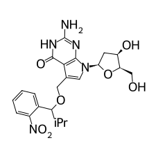 CC(C)C(OCc1cn([C@H]2C[C@@H](O)[C@@H](CO)O2)c2nc(N)[nH]c(=O)c12)c1ccccc1[N+](=O)[O-]